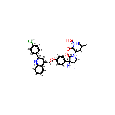 CC(C)CC(C(=O)NO)N1CCC(N)(c2ccc(OCc3cc(-c4ccc(Cl)cc4)nc4ccccc34)cc2)C1=O